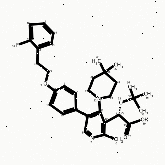 Cc1ncc(-c2ccc(OCCc3ccccc3F)cc2)c(N2CCC(C)(C)CC2)c1[C@H](OC(C)(C)C)C(=O)O